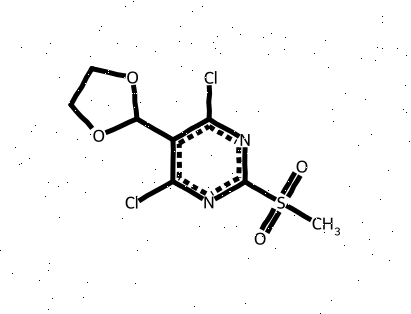 CS(=O)(=O)c1nc(Cl)c(C2OCCO2)c(Cl)n1